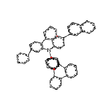 c1ccc(-c2ccc(-c3ccccc3)c(N(c3ccc(-c4ccc5ccccc5c4)cc3)c3ccc(-c4ccccc4-c4ccccc4-c4ccccc4)cc3)c2)cc1